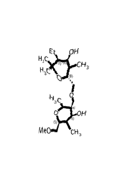 CC[C@H]1[C@@H](O)C(C)[C@H](COC[C@@H]2C(C)O[C@H](COC)C(C)[C@@H]2O)OC1(C)C